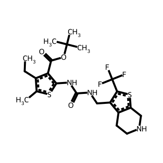 CCc1c(C)sc(NC(=O)NCc2c(C(F)(F)F)sc3c2CCNC3)c1C(=O)OC(C)(C)C